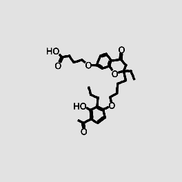 CCCc1c(OCCCCC2(CC)CC(=O)c3ccc(OCCCC(=O)O)cc3O2)ccc(C(C)=O)c1O